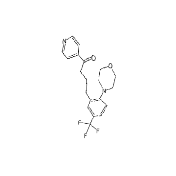 O=C(CCCc1cc(C(F)(F)F)ccc1N1CCOCC1)c1ccncc1